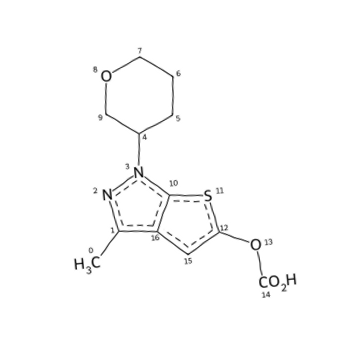 Cc1nn(C2CCCOC2)c2sc(OC(=O)O)cc12